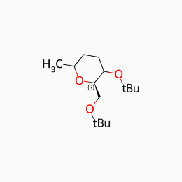 CC1CCC(OC(C)(C)C)[C@@H](COC(C)(C)C)O1